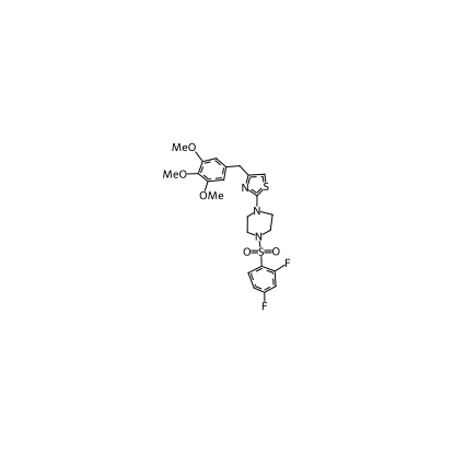 COc1cc(Cc2csc(N3CCN(S(=O)(=O)c4ccc(F)cc4F)CC3)n2)cc(OC)c1OC